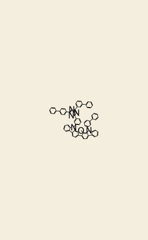 c1ccc(-c2ccc(-c3nc(-c4cccc(-c5ccccc5)c4)nc(-c4cccc(-n5c6ccccc6c6ccc7c8ccc9c%10ccccc%10n(-c%10cccc(-c%11ccccc%11)c%10)c9c8oc7c65)c4)n3)cc2)cc1